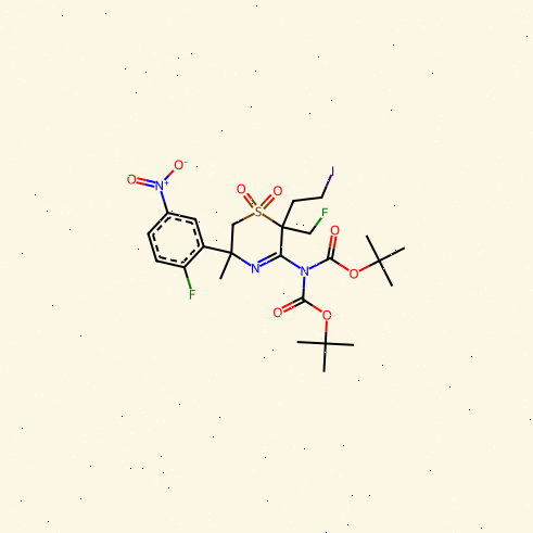 CC(C)(C)OC(=O)N(C(=O)OC(C)(C)C)C1=NC(C)(c2cc([N+](=O)[O-])ccc2F)CS(=O)(=O)C1(CF)CCI